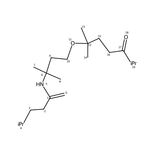 C=C(CCC(C)C)NC(C)(C)CCOC(C)(C)CCC(=O)C(C)C